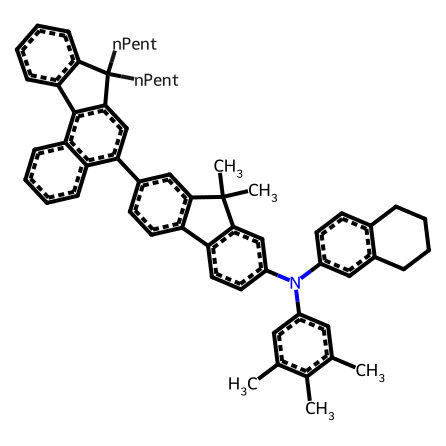 CCCCCC1(CCCCC)c2ccccc2-c2c1cc(-c1ccc3c(c1)C(C)(C)c1cc(N(c4cc(C)c(C)c(C)c4)c4ccc5c(c4)CCCC5)ccc1-3)c1ccccc21